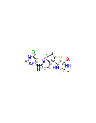 C[C@@H]1CNc2c(sc3ccc4nc(Nc5cc(Cl)ncn5)ccc4c23)C(=O)N1